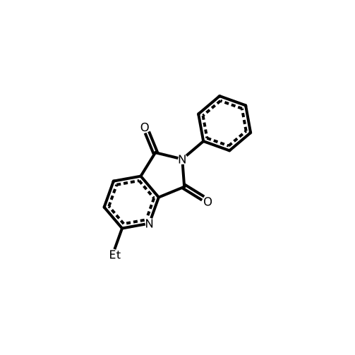 CCc1ccc2c(n1)C(=O)N(c1ccccc1)C2=O